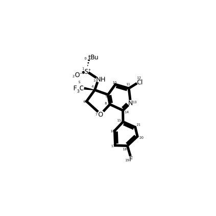 CC(C)(C)[S@@+]([O-])N[C@@]1(C(F)(F)F)COc2c1cc(Cl)nc2-c1ccc(F)cc1